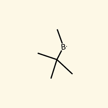 C[B]C(C)(C)C